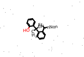 CCCCCCCCCC(CC)c1ccccc1C(C)(C)c1ccccc1O